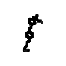 CC1(C(N)=O)OC[C@@H](COc2ccc(CCC[CH]C=O)cc2)O1